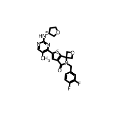 Cc1cnc(N[C@@H]2CCOC2)nc1-c1cc2c(s1)C1(COC1)N(Cc1ccc(F)c(F)c1)C2=O